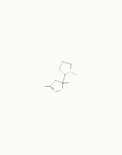 CC1=NOC(O)(C2CCCN2C)C1